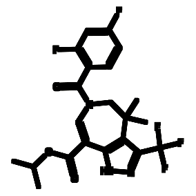 CC(C)OC(=O)C1=CN(C(=O)c2ccc(F)cc2F)CC(C)(C)c2c(C(F)(F)F)n[nH]c21